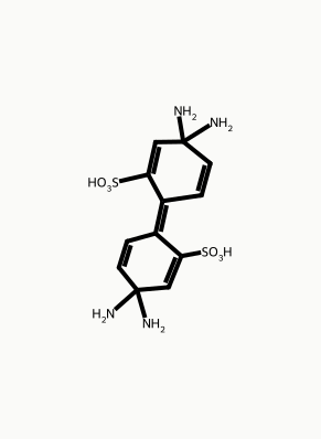 NC1(N)C=CC(=C2C=CC(N)(N)C=C2S(=O)(=O)O)C(S(=O)(=O)O)=C1